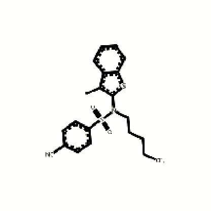 Cc1c(N(CCCCC(F)(F)F)S(=O)(=O)c2ccc(C#N)cc2)sc2ccccc12